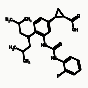 CC(C)CN(CC(C)C)c1ccc([C@H]2C[C@H]2C(=O)O)cc1NC(=O)Nc1ccccc1F